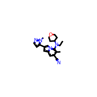 CCN(c1c(C)c(C#N)cc2cc(-c3ccnn3C)cn12)C1CCOCC1